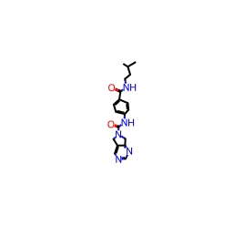 CC(C)CCNC(=O)c1ccc(NC(=O)N2Cc3cncnc3C2)cc1